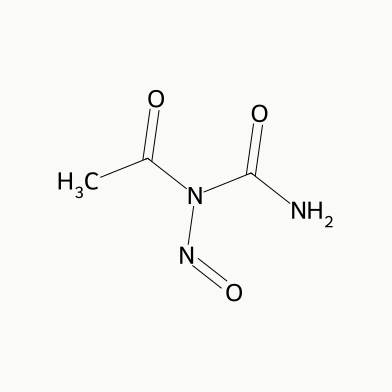 CC(=O)N(N=O)C(N)=O